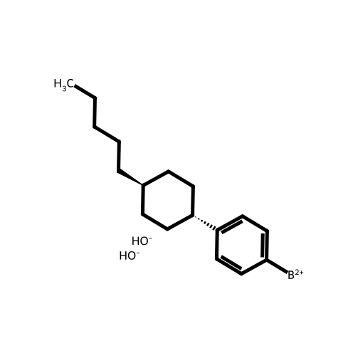 [B+2]c1ccc([C@H]2CC[C@H](CCCCC)CC2)cc1.[OH-].[OH-]